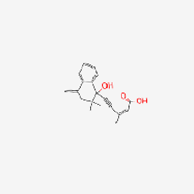 C=C1CC(C)(C)C(O)(C#C/C(C)=C\C(=O)O)c2ccccc21